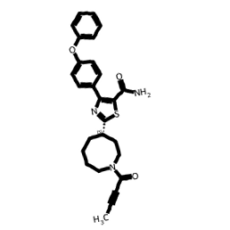 CC#CC(=O)N1CCCC[C@H](c2nc(-c3ccc(Oc4ccccc4)cc3)c(C(N)=O)s2)CC1